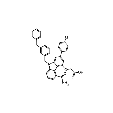 NC(=O)c1cccc2c1c1c(OCC(=O)O)cc(-c3ccc(Cl)cc3)cc1n2Cc1cccc(Cc2ccccc2)c1